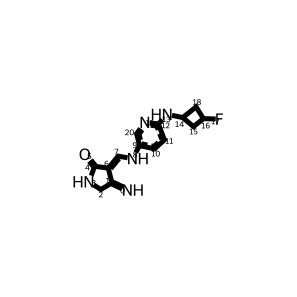 N=C1CNC(=O)/C1=C/Nc1ccc(NC2CC(F)C2)nc1